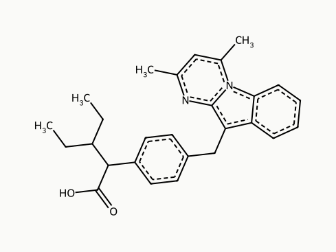 CCC(CC)C(C(=O)O)c1ccc(Cc2c3ccccc3n3c(C)cc(C)nc23)cc1